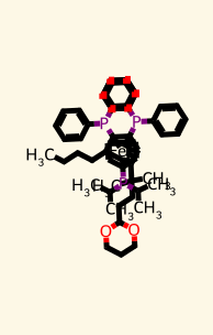 CCCC[C]12[C]3(C(C)(C)CCC4OCCCO4)[CH]4[C]5(P(c6ccccc6)c6ccccc6)[C]1(P(c1ccccc1)c1ccccc1)[Fe]45231678[CH]2[CH]1[CH]6[C]7(P(C(C)C)C(C)C)[CH]28